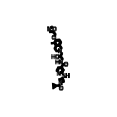 Cc1c(OCc2cnco2)ccc2c1CCN(CC(O)CNC(=O)c1ccnc(NC3CN(C(=O)C4CC4)C3)c1)C2